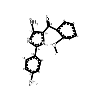 COc1ccccc1C(=O)c1sc(-c2ccc(N)cc2)nc1N